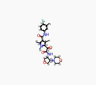 Cc1cc(NC(=O)c2c(C)c(C(=O)C(=O)N[C@H]3COC[C@@H]3N3CCOCC3)n(C)c2C)ccc1F